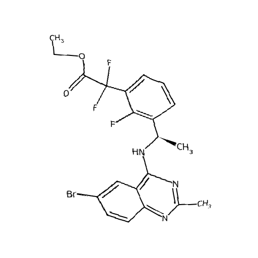 CCOC(=O)C(F)(F)c1cccc([C@@H](C)Nc2nc(C)nc3ccc(Br)cc23)c1F